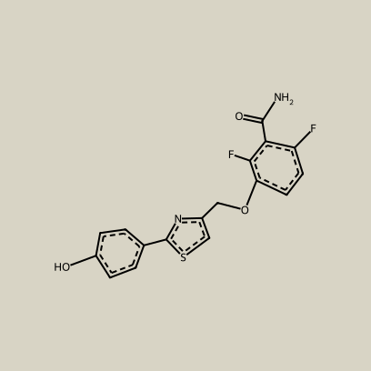 NC(=O)c1c(F)ccc(OCc2csc(-c3ccc(O)cc3)n2)c1F